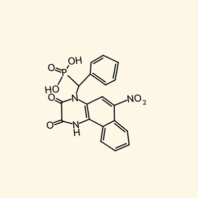 O=c1[nH]c2c3ccccc3c([N+](=O)[O-])cc2n(C(c2ccccc2)P(=O)(O)O)c1=O